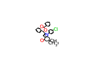 CC1(C)CC(=O)c2cc(C(OC(=O)c3ccccc3)c3ccccc3)n(-c3ccc(Cl)cc3)c2C1